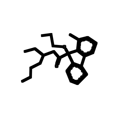 CCCCC(CC)CC(=O)C1(OCCC)c2ccccc2-c2cccc(C)c21